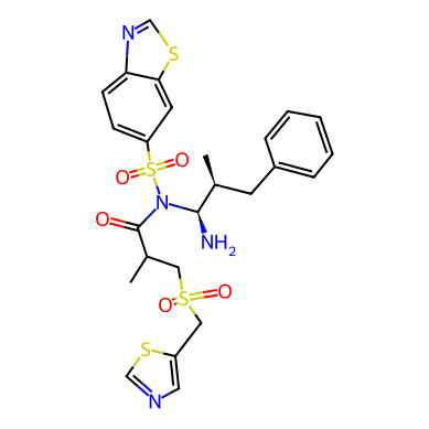 CC(CS(=O)(=O)Cc1cncs1)C(=O)N([C@H](N)[C@@H](C)Cc1ccccc1)S(=O)(=O)c1ccc2ncsc2c1